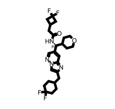 O=C(CC1CC(F)(F)C1)N[C@@H](c1cnn2cc(CC3CCC(F)(F)CC3)nc2c1)C1CCOCC1